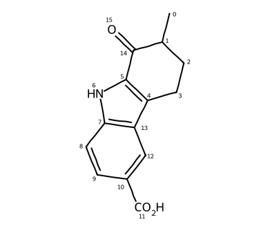 CC1CCc2c([nH]c3ccc(C(=O)O)cc23)C1=O